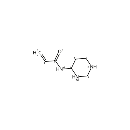 C=CC(=O)NC1CCNCN1